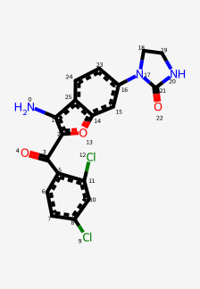 Nc1c(C(=O)c2ccc(Cl)cc2Cl)oc2cc(N3CCNC3=O)ccc12